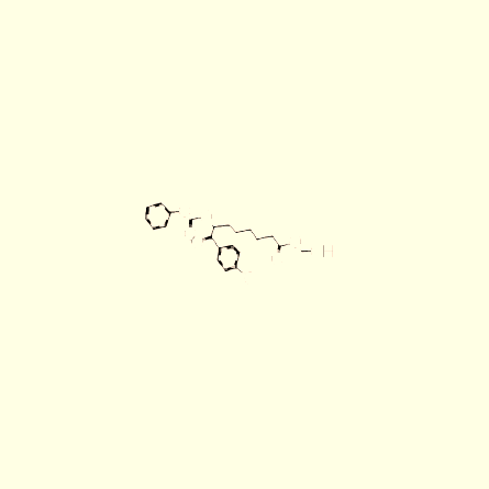 CCOC(=O)CCCCCC(OC(=O)Oc1ccccc1)C(=O)c1ccc(Cl)cc1